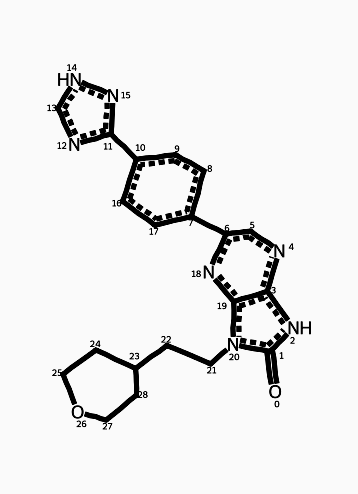 O=c1[nH]c2ncc(-c3ccc(-c4nc[nH]n4)cc3)nc2n1CCC1CCOCC1